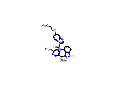 COCCOc1ccn2c(C(=O)Nc3cccc4[nH]nc(C(OC)c5ccc(C)nc5)c34)cnc2c1